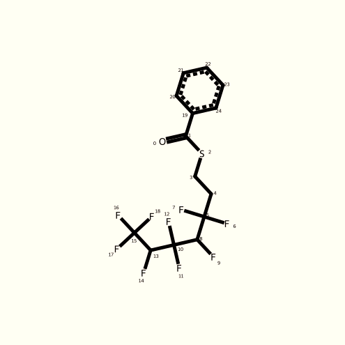 O=C(SCCC(F)(F)C(F)C(F)(F)C(F)C(F)(F)F)c1ccccc1